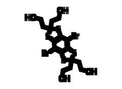 OCCC1(CCO)Sc2c(Br)c3c(c(Br)c2S1)SC(CCO)(CCO)S3